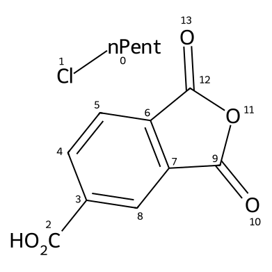 CCCCCCl.O=C(O)c1ccc2c(c1)C(=O)OC2=O